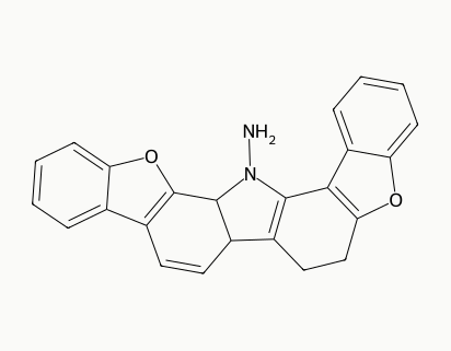 NN1C2=C(CCc3oc4ccccc4c32)C2C=Cc3c(oc4ccccc34)C21